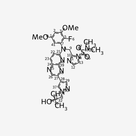 COc1cc(OC)c(F)c(N(Cc2nccn2S(=O)(=O)N(C)C)c2ccc3ncc(-c4cnn(CC(C)(C)O)c4)nc3n2)c1